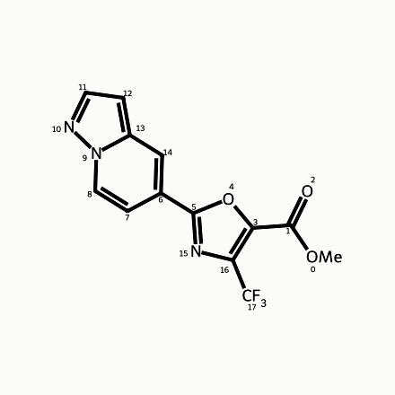 COC(=O)c1oc(-c2ccn3nccc3c2)nc1C(F)(F)F